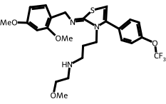 COCCNCCCn1c(-c2ccc(OC(F)(F)F)cc2)cs/c1=N\Cc1ccc(OC)cc1OC